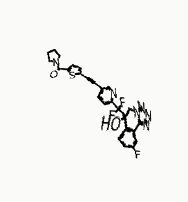 O=C(c1ccc(C#Cc2ccc(C(F)(F)C3(O)Cn4nnnc4-c4cc(F)ccc43)nc2)s1)N1CCCC1